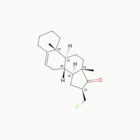 C[C@]12CCCCC1=CC[C@@H]1[C@@H]2CC[C@]2(C)C(=O)[C@@H](CF)C[C@@H]12